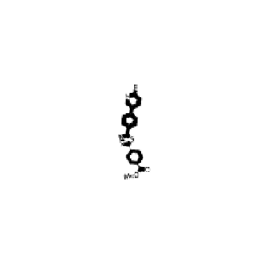 COC(=O)[C@H]1CC[C@H](c2nnc(-c3ccc(-c4ccc(F)nc4)cc3)s2)CC1